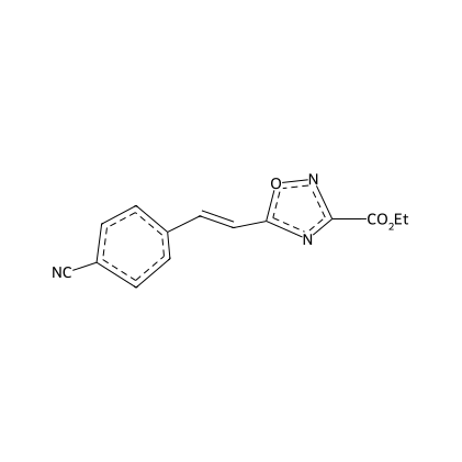 CCOC(=O)c1noc(C=Cc2ccc(C#N)cc2)n1